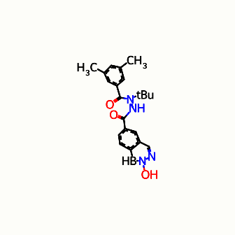 Cc1cc(C)cc(C(=O)N(NC(=O)c2ccc3c(c2)C=NN(O)B3)C(C)(C)C)c1